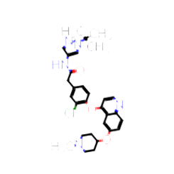 CN1CCC(Oc2ccc3nccc(Oc4ccc(CC(=O)Nc5cnn(C(C)(C)C)c5)cc4Cl)c3c2)CC1